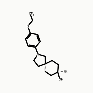 CC[C@]1(O)CC[C@@]2(CCN(c3ccc(OCC(F)(F)F)cc3)C2)CC1